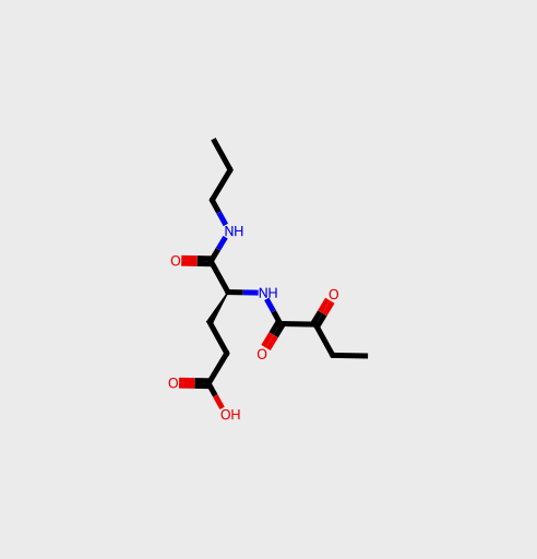 CCCNC(=O)[C@H](CCC(=O)O)NC(=O)C(=O)CC